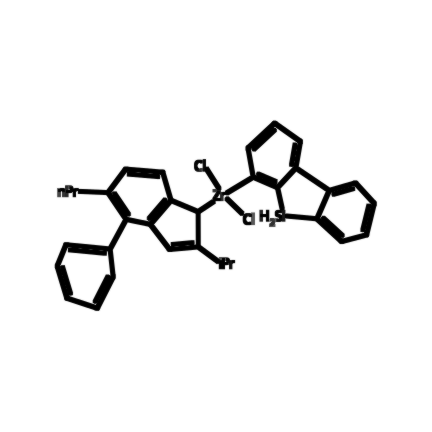 CCCc1ccc2c(c1-c1ccccc1)C=C(C(C)C)[CH]2[Zr]([Cl])([Cl])[c]1cccc2c1[SiH2]c1ccccc1-2